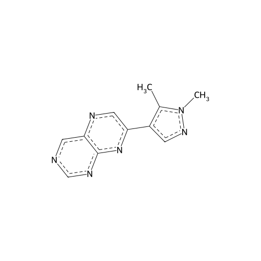 Cc1c(-c2cnc3cncnc3n2)cnn1C